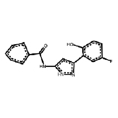 O=C(Nc1cc(-c2cc(F)ccc2O)n[nH]1)c1ccccc1